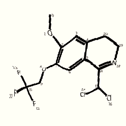 COc1cc2c(cc1OCC(F)(F)F)C(C(Cl)Cl)=NCC2